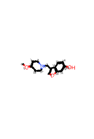 COC1CCN(Cc2coc3cc(O)ccc23)CC1